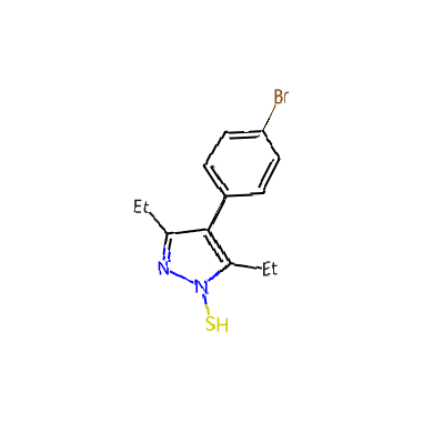 CCc1nn(S)c(CC)c1-c1ccc(Br)cc1